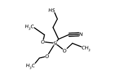 CCO[Si](OCC)(OCC)C(C#N)CCS